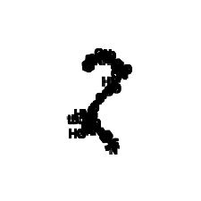 Cc1ncsc1-c1ccc(CNC(=O)[C@@H]2C[C@@H](O)CN2C(=O)[C@@H](NC(=O)COCCOCCOCC(=O)NCCN(C)C(=O)c2ccc(-c3cc(C(=O)N[C@@H]4CCc5ccccc54)no3)cc2O)C(C)(C)C)cc1